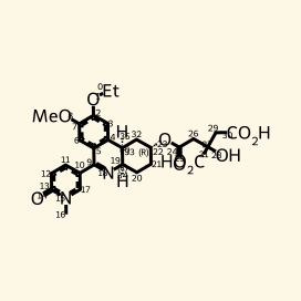 CCOc1cc2c(cc1OC)C(c1ccc(=O)n(C)c1)=N[C@@H]1CC[C@@H](OC(=O)CC(O)(CC(=O)O)C(=O)O)C[C@H]21